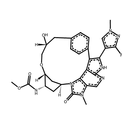 COC(=O)N[C@H]1C[C@H]2C[C@H]1OC[C@H](O)Cc1ccc(cc1)-c1c(-c3cn(C)nc3F)[nH]c3ncc4c(c13)n2c(=O)n4C